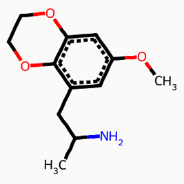 COc1cc(CC(C)N)c2c(c1)OCCO2